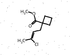 COC(=O)C1(C/C=C(/C)Cl)CCC1